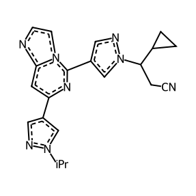 CC(C)n1cc(-c2cc3nccn3c(-c3cnn(C(CC#N)C4CC4)c3)n2)cn1